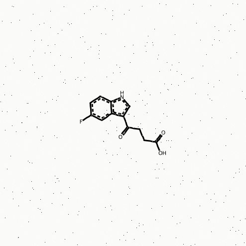 O=C(O)CCC(=O)c1c[nH]c2ccc(F)cc12